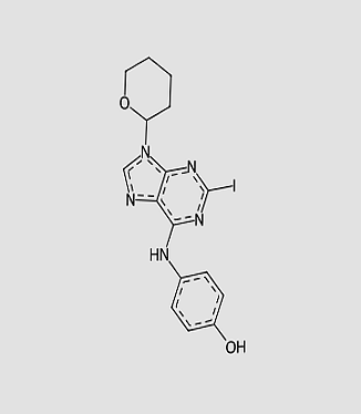 Oc1ccc(Nc2nc(I)nc3c2ncn3C2CCCCO2)cc1